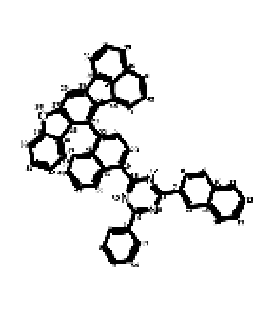 c1ccc(-c2nc(-c3ccc4ccccc4c3)nc(-c3ccc(-c4c5c(cc6oc7ccccc7c46)-c4cccc6cccc-5c46)c4ccccc34)n2)cc1